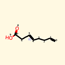 C=CCC/C=C/CC(=O)O